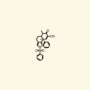 CC1C(=O)C(C#N)=C[C@]2(c3ccccc3)c3nn(S(=O)(=O)c4ccccc4)cc3CCC12